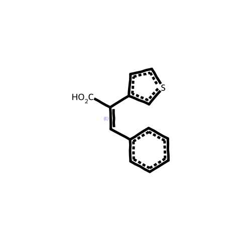 O=C(O)/C(=C/c1ccccc1)c1ccsc1